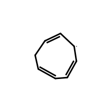 [CH]1C=CC=CCC=C1